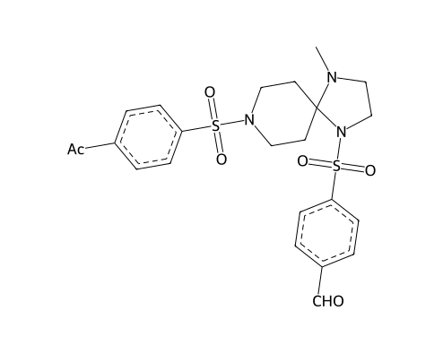 CC(=O)c1ccc(S(=O)(=O)N2CCC3(CC2)N(C)CCN3S(=O)(=O)c2ccc(C=O)cc2)cc1